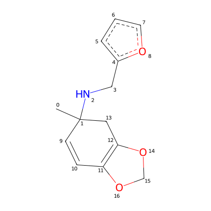 CC1(NCc2ccco2)C=CC2=C(C1)OCO2